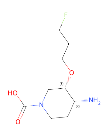 N[C@@H]1CCN(C(=O)O)C[C@@H]1OCCCF